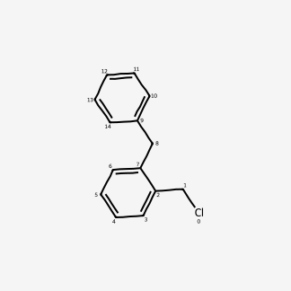 ClCc1ccccc1Cc1ccccc1